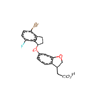 O=C(O)CC1COc2cc(OC3CCc4c(Br)ccc(F)c43)ccc21